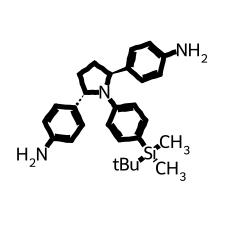 CC(C)(C)[Si](C)(C)c1ccc(N2[C@H](c3ccc(N)cc3)CC[C@H]2c2ccc(N)cc2)cc1